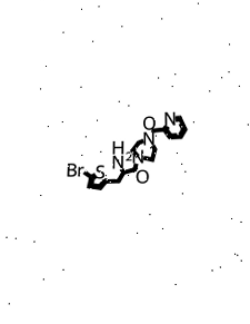 NC(Cc1ccc(Br)s1)C(=O)N1CCN(C(=O)c2ccccn2)CC1